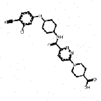 N#Cc1ccc(OC2CCC(NC(=O)c3ccc(N4CCC(C(=O)O)CC4)nn3)CC2)cc1Cl